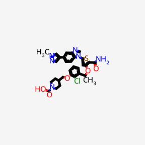 C[C@@H](Oc1cc(-n2cnc3cc(-c4cnn(C)c4)ccc32)sc1C(N)=O)c1cccc(OCC2CCN(C(=O)O)CC2)c1Cl